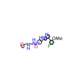 COc1ccc(F)cc1-c1ccnc2[nH]c(C3=CCN(C(=O)NCCNCC4CCCO4)CC3)cc12